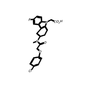 CN(C(=O)COc1ccc(Cl)cc1)C1CCc2c(c3cc(F)ccc3n2CC(=O)O)C1